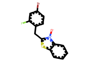 [O-][n+]1c(Cc2ccc(Br)cc2F)sc2ccccc21